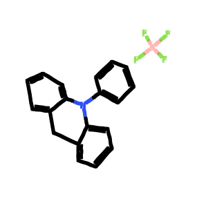 F[B-](F)(F)F.c1ccc(N2c3ccccc3Cc3ccccc32)cc1